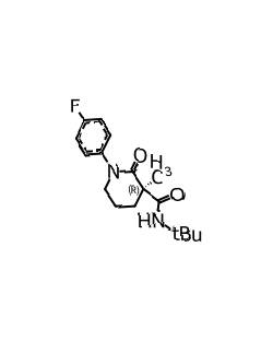 CC(C)(C)NC(=O)[C@@]1(C)CCCN(c2ccc(F)cc2)C1=O